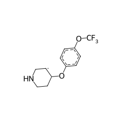 FC(F)(F)Oc1ccc(OC2[CH]CNCC2)cc1